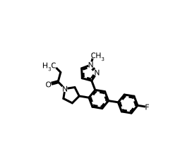 CCC(=O)N1CCC(c2ccc(-c3ccc(F)cc3)cc2-c2ccn(C)n2)C1